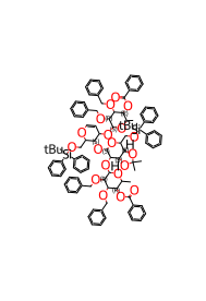 CC1OC(OC2[C@H](O[C@H]3C(O[C@@H]4OC(C)[C@@H](OC(=O)c5ccccc5)C(OCc5ccccc5)[C@H]4OCc4ccccc4)C=COC3CO[Si](c3ccccc3)(c3ccccc3)C(C)(C)C)OC(CO[Si](c3ccccc3)(c3ccccc3)C(C)(C)C)[C@@H]3OC(C)(C)O[C@H]23)[C@H](OCc2ccccc2)C(OCc2ccccc2)[C@@H]1OC(=O)c1ccccc1